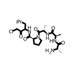 CC(C)CC(NC(=O)[C@@H]1CCCN1C(=O)[C@H](C)NC(=O)[C@@H](C)NC(=O)[C@H](C)N)C(=O)CCl